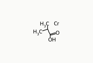 CC(C)C(=O)O.[Cr]